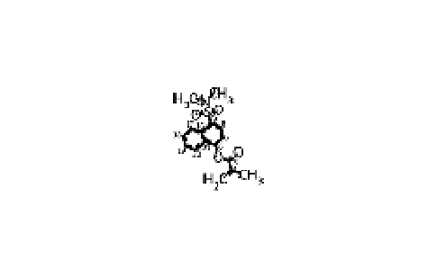 C=C(C)C(=O)Oc1ccc(S(=O)(=O)N(C)C)c2ccccc12